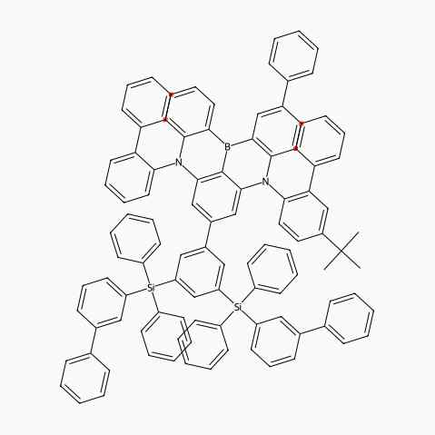 CC(C)(C)c1ccc(N2c3ccc(-c4ccccc4)cc3B3c4ccccc4N(c4ccccc4-c4ccccc4)c4cc(-c5cc([Si](c6ccccc6)(c6ccccc6)c6cccc(-c7ccccc7)c6)cc([Si](c6ccccc6)(c6ccccc6)c6cccc(-c7ccccc7)c6)c5)cc2c43)c(-c2ccccc2)c1